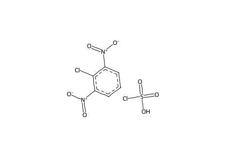 O=S(=O)(O)Cl.O=[N+]([O-])c1cccc([N+](=O)[O-])c1Cl